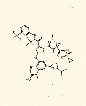 CC[C@@H]1C[C@]1(NC(=O)[C@@H]1CC(Oc2cc(C3=NC(C(C)C)CS3)nc3c(C)c(OC)ccc23)CN1C(=O)[C@@H](Nc1cccc(C(F)(F)F)c1)C(C)(C)C)C(=O)NS(=O)(=O)C1CC1